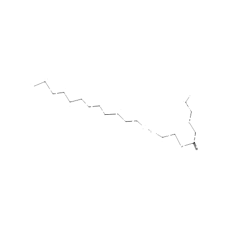 [CH]=C(CCCCC)CCCCCCCCCCCCCCCCC